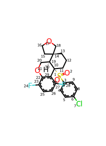 O=S(=O)(c1ccc(Cl)cc1)[C@@]12CCC[C@]3(CCOC3)[C@@H]1COc1c(F)ccc(F)c12